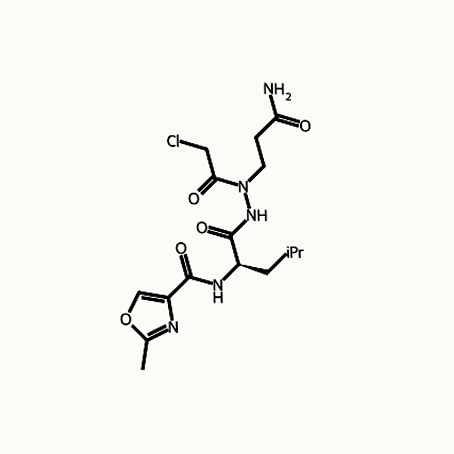 Cc1nc(C(=O)N[C@H](CC(C)C)C(=O)NN(CCC(N)=O)C(=O)CCl)co1